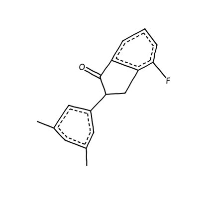 Cc1cc(C)cc(C2Cc3c(F)cccc3C2=O)c1